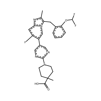 Cc1nc2cc(F)c(-c3cnc(N4CCC(C)(C(=O)O)CC4)nc3)cn2c1Cc1ccccc1OC(F)F